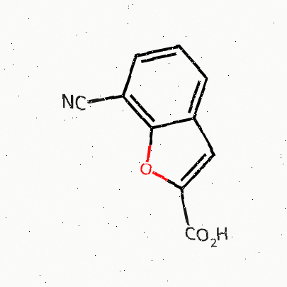 N#Cc1cccc2cc(C(=O)O)oc12